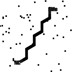 CSCCCCCCCC#N